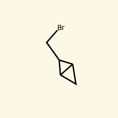 BrCC1C2CC12